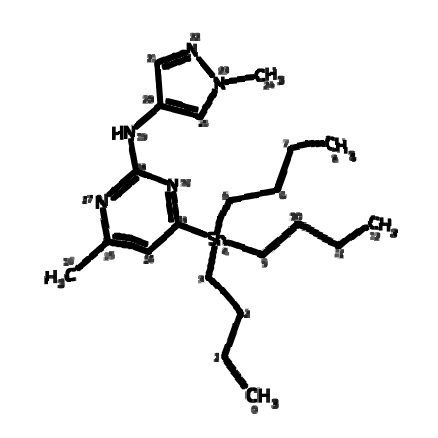 CCC[CH2][Sn]([CH2]CCC)([CH2]CCC)[c]1cc(C)nc(Nc2cnn(C)c2)n1